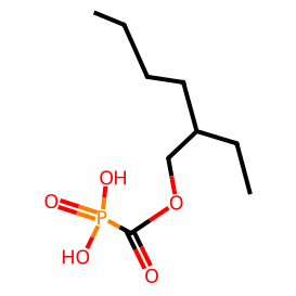 CCCCC(CC)COC(=O)P(=O)(O)O